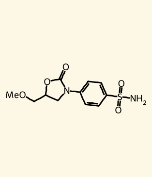 COCC1CN(c2ccc(S(N)(=O)=O)cc2)C(=O)O1